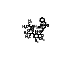 CC(C)C(N)C(=O)NC(C(=O)NC(C(=O)NCC(O)CP(=O)(O)CC1CCCCC1)C(C)C)C(C)C